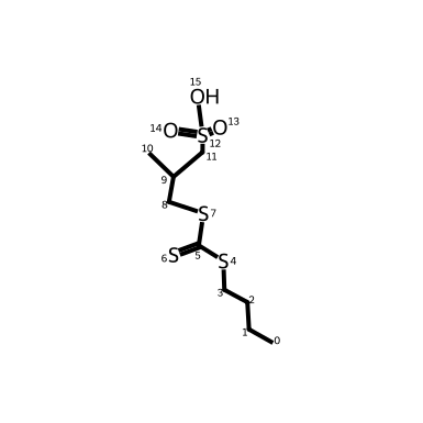 CCCCSC(=S)SCC(C)CS(=O)(=O)O